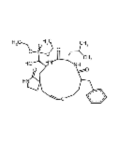 CCOP(=O)(OCC)C(O)[C@@H]1CC2(CC=CCCCC(Cc3ccccc3)C(=O)N[C@@H](CC(C)C)C(=O)N1)CCNC2=O